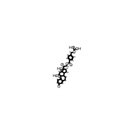 C[C@]12C=CC(=O)C=C1CCC1C2[C@@H](O)C[C@@]2(C)C1CC[C@]2(O)C(=O)COC(=O)c1ccc(CON(O)O)cc1